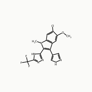 COc1cc2c(-c3cn[nH]c3)c(-c3nnc(C(F)(F)F)[nH]3)n(C)c2cc1Cl